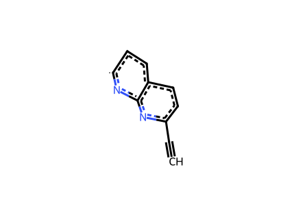 C#Cc1ccc2cc[c]nc2n1